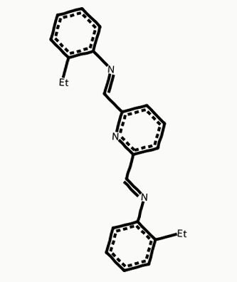 CCc1ccccc1N=Cc1cccc(C=Nc2ccccc2CC)n1